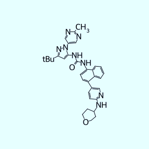 Cc1ncc(-n2nc(C(C)(C)C)cc2NC(=O)Nc2ccc(-c3ccc(NC4CCOCC4)nc3)c3ccccc23)cn1